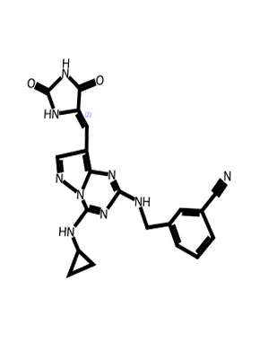 N#Cc1cccc(CNc2nc(NC3CC3)n3ncc(/C=C4\NC(=O)NC4=O)c3n2)c1